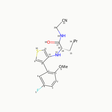 COc1ccc(F)cc1-c1cscc1N[C@@H](CC(C)C)C(=O)NCC#N